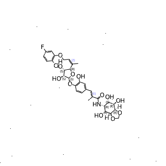 C/C(=C/COc1cc(F)ccc1Cl)[C@H]1O[C@@H](Oc2ccc(/C=C(\C)C(=O)N[C@@H]3[C@H](O)[C@@H](O)[C@H]4OCO[C@H]4[C@@H]3O)cc2O)[C@@H](O)[C@@H]1O